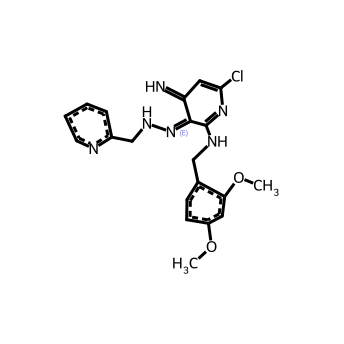 COc1ccc(CNC2=NC(Cl)=CC(=N)/C2=N\NCc2ccccn2)c(OC)c1